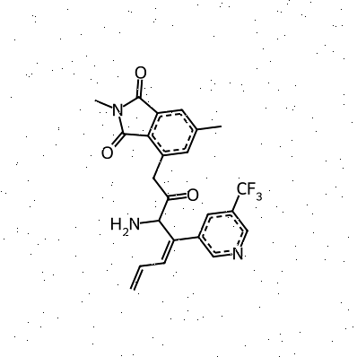 C=C/C=C(/c1cncc(C(F)(F)F)c1)C(N)C(=O)Cc1cc(C)cc2c1C(=O)N(C)C2=O